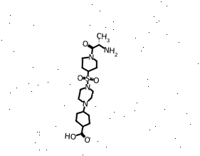 C[C@H](N)C(=O)N1CCC(S(=O)(=O)N2CCN(C3CCC(C(=O)O)CC3)CC2)CC1